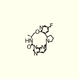 C[C@H]1COc2ncc(F)cc2C2CCCN2c2ccc3ncn(c3n2)C(=O)N1